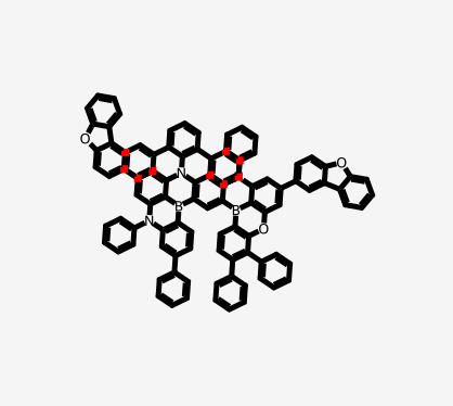 c1ccc(-c2ccc3c(c2)N(c2ccccc2)c2cc(-c4ccc5oc6ccccc6c5c4)cc4c2B3c2cc3c(cc2N4c2c(-c4ccccc4)cccc2-c2ccccc2)N(c2ccccc2)c2cc(-c4ccc5oc6ccccc6c5c4)cc4c2B3c2ccc(-c3ccccc3)c(-c3ccccc3)c2O4)cc1